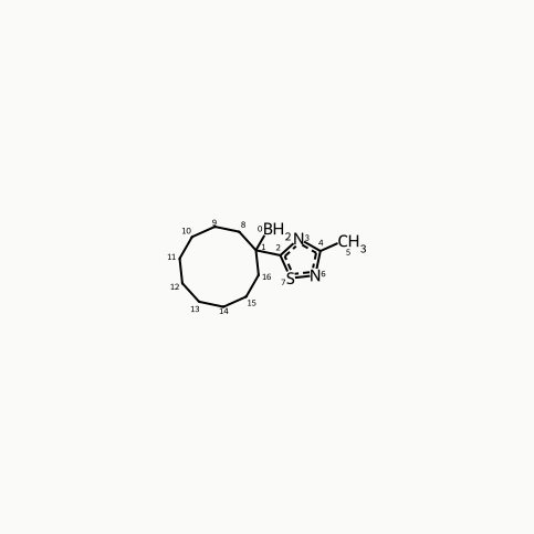 BC1(c2nc(C)ns2)CCCCCCCCC1